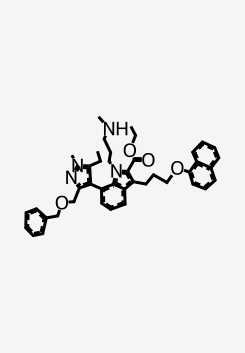 CCOC(=O)c1c(CCCOc2cccc3ccccc23)c2cccc(-c3c(COCc4ccccc4)nn(C)c3CC)c2n1CCCNC